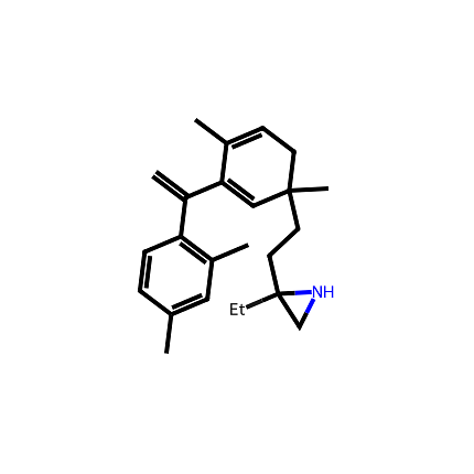 C=C(C1=CC(C)(CCC2(CC)CN2)CC=C1C)c1ccc(C)cc1C